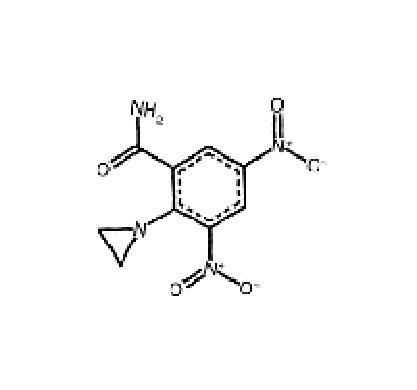 NC(=O)c1cc([N+](=O)[O-])cc([N+](=O)[O-])c1N1CC1